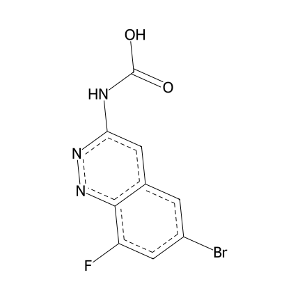 O=C(O)Nc1cc2cc(Br)cc(F)c2nn1